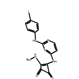 CC(C)(C)Nc1c(Nc2ccnc(Nc3ccc(I)cc3)n2)c(=O)c1=O